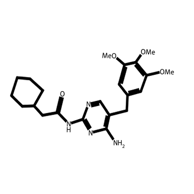 COc1cc(Cc2cnc(NC(=O)CC3CCCCC3)nc2N)cc(OC)c1OC